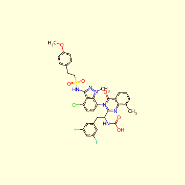 COc1ccc(CCS(=O)(=O)Nc2nn(C)c3c(-n4c(C(Cc5cc(F)cc(F)c5)NC(=O)O)nc5c(C)cccc5c4=O)ccc(Cl)c23)cc1